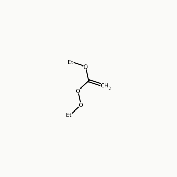 C=C(OCC)OOCC